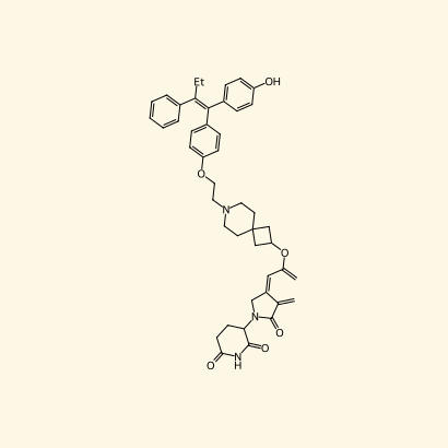 C=C(/C=C1/CN(C2CCC(=O)NC2=O)C(=O)C1=C)OC1CC2(CCN(CCOc3ccc(/C(=C(/CC)c4ccccc4)c4ccc(O)cc4)cc3)CC2)C1